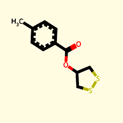 Cc1ccc(C(=O)OC2CSSC2)cc1